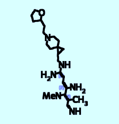 CNC(/C(N)=C/C=C(\N)NCC1CC12CCN(CCC1CCCO1)CC2)=C(/C)C=N